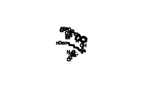 CCCCCCCCCCCCCCCC[N+](C)(C)C.CCO[Si](OCC)(OCC)OCC.O.Oc1cccc2cccnc12.[Cl-].[Cl-].[Cl-].[Co+2].[Na+].[OH-]